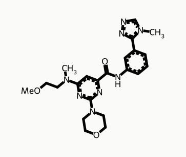 COCCN(C)c1cc(C(=O)Nc2cccc(-c3nncn3C)c2)nc(N2CCOCC2)n1